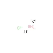 [BH4-].[Cl-].[K+].[Li+]